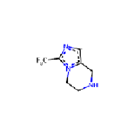 FC(F)(F)c1n[c]c2n1CCNC2